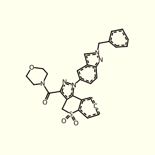 O=C(c1nn(-c2ccc3nn(Cc4ccccc4)cc3c2)c2c1CS(=O)(=O)c1ccccc1-2)N1CCOCC1